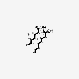 CCCCCCCC(=O)O.CCCCCCCC(=O)O.[S]